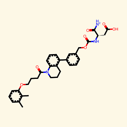 Cc1cccc(OCCCC(=O)N2CCCc3c(-c4cccc(COC(=O)N[C@@H](CC(=O)O)C(N)=O)c4)cccc32)c1C